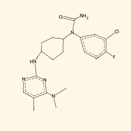 Cc1cnc(NC2CCC(N(C(N)=O)c3ccc(F)c(Cl)c3)CC2)nc1N(C)C